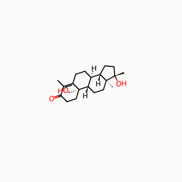 CC1=C2CC[C@@H]3[C@H](CC[C@@]4(C)[C@H]3CC[C@]4(C)O)[C@@]2(CO)CCC1=O